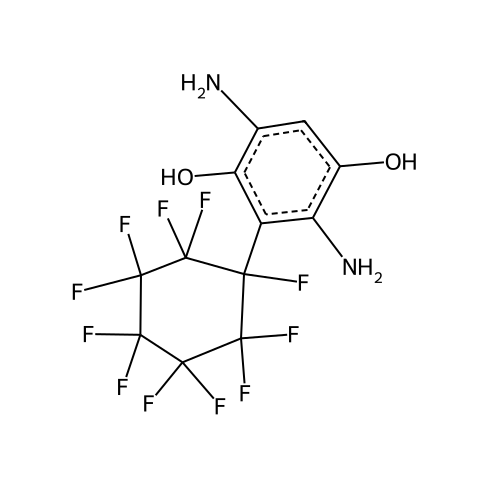 Nc1cc(O)c(N)c(C2(F)C(F)(F)C(F)(F)C(F)(F)C(F)(F)C2(F)F)c1O